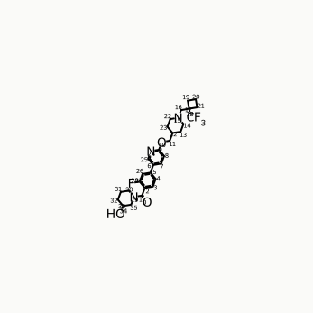 O=C(c1ccc(-c2ccc(OCC3CCN(CC4(C(F)(F)F)CCC4)CC3)nc2)cc1F)N1CCCC(O)C1